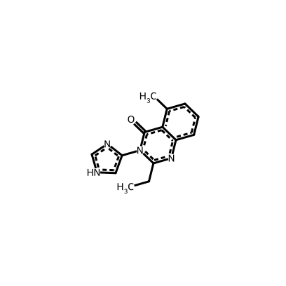 CCc1nc2cccc(C)c2c(=O)n1-c1c[nH]cn1